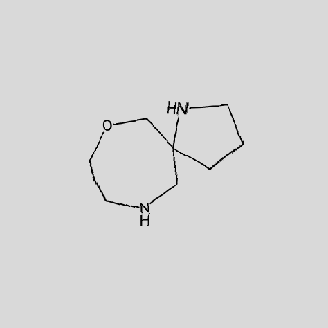 C1CNC2(C1)CNCCOC2